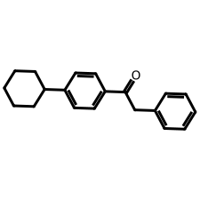 O=C(Cc1ccccc1)c1ccc(C2CCCCC2)cc1